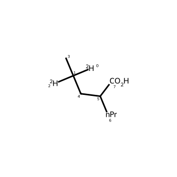 [2H]C([2H])(C)CC(CCC)C(=O)O